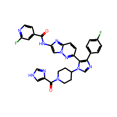 O=C(Nc1cn2nc(-c3c(-c4ccc(F)cc4)ncn3C3CCN(C(=O)c4c[nH]cn4)CC3)ccc2n1)c1ccnc(F)c1